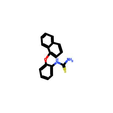 NC(=S)Nc1ccccc1Oc1cccc2ccccc12